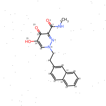 CNC(=O)c1nn(CCc2ccc3ccccc3c2)cc(O)c1=O